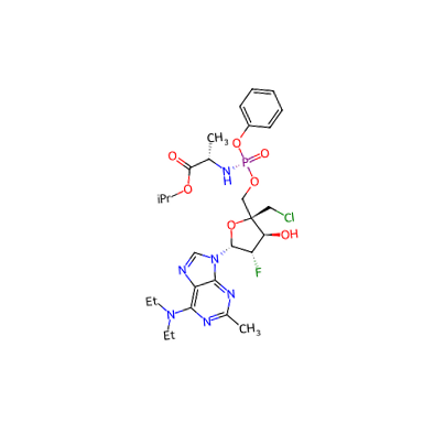 CCN(CC)c1nc(C)nc2c1ncn2[C@@H]1O[C@](CCl)(CO[P@@](=O)(N[C@@H](C)C(=O)OC(C)C)Oc2ccccc2)[C@@H](O)[C@@H]1F